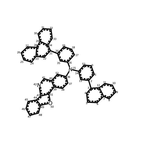 c1cc(-c2cccc3ccccc23)cc(N(c2cccc(-c3cc4ccccc4c4ccccc34)c2)c2ccc3c(cnc4c5ccccc5oc34)c2)c1